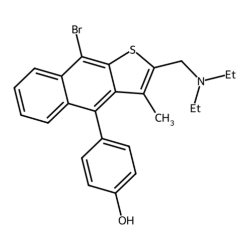 CCN(CC)Cc1sc2c(Br)c3ccccc3c(-c3ccc(O)cc3)c2c1C